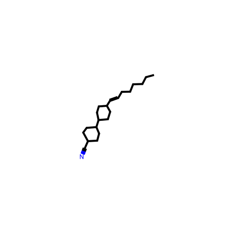 CCCCCC/C=C/C1CCC(C2CCC(C#N)CC2)CC1